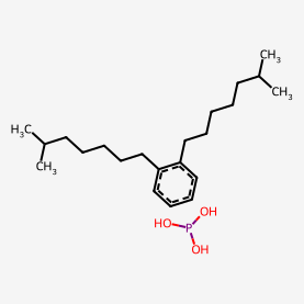 CC(C)CCCCCc1ccccc1CCCCCC(C)C.OP(O)O